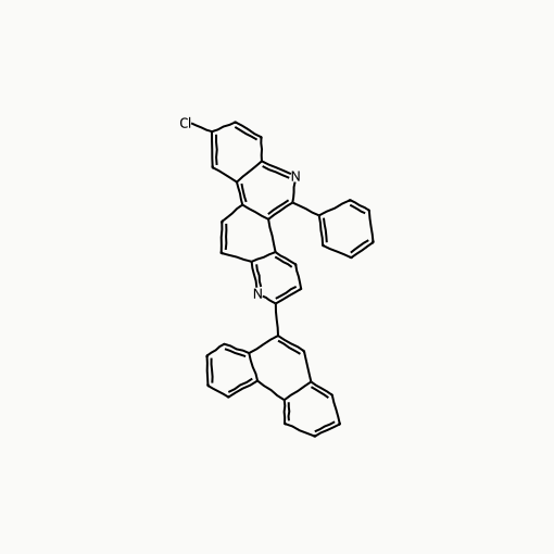 Clc1ccc2nc(-c3ccccc3)c3c4ccc(-c5cc6ccccc6c6ccccc56)nc4ccc3c2c1